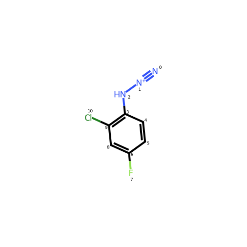 N#[N+]Nc1ccc(F)cc1Cl